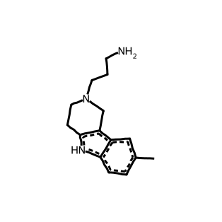 Cc1ccc2[nH]c3c(c2c1)CN(CCCN)CC3